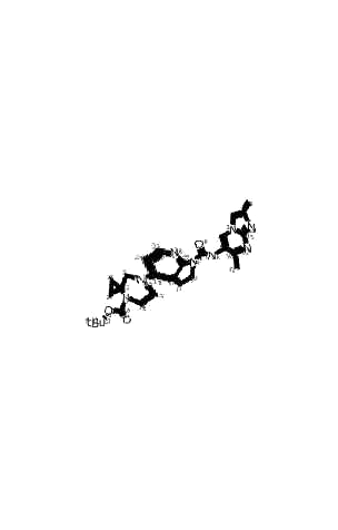 Cc1cn2cc(NC(=O)N3CCc4c(N5CCN(C(=O)OC(C)(C)C)C6(CC6)C5)ccnc43)c(C)nc2n1